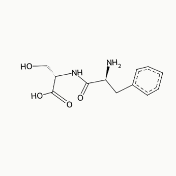 N[C@@H](Cc1ccccc1)C(=O)N[C@@H](CO)C(=O)O